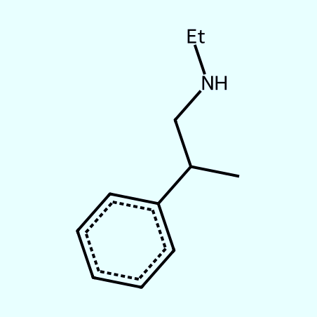 CCNCC(C)c1ccccc1